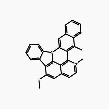 COc1cc2cc[n+](C)c3c4c(C)c5ccccc5cc4n4c5ccccc5c1c4c23